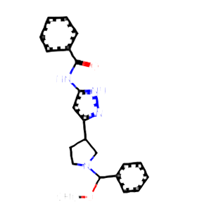 O=COC(c1ccccc1)N1CCC(c2cc(NC(=O)c3ccccc3)[nH]n2)C1